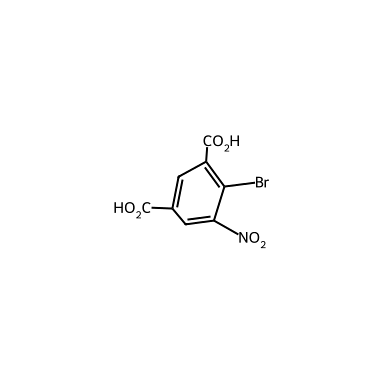 O=C(O)c1cc(C(=O)O)c(Br)c([N+](=O)[O-])c1